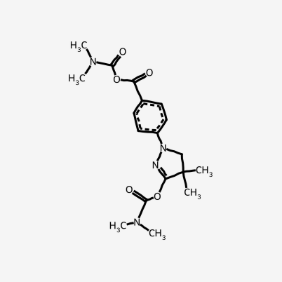 CN(C)C(=O)OC(=O)c1ccc(N2CC(C)(C)C(OC(=O)N(C)C)=N2)cc1